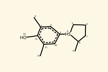 Cc1cc([SH]2CCCC2C)cc(C)c1O